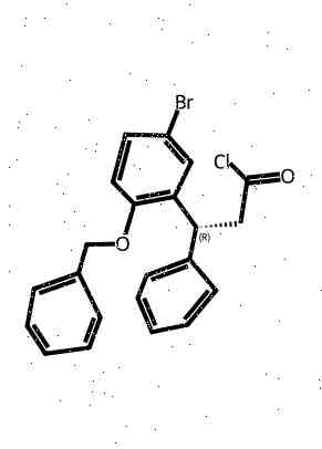 O=C(Cl)C[C@H](c1ccccc1)c1cc(Br)ccc1OCc1ccccc1